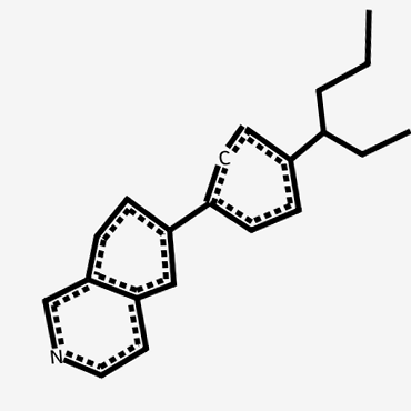 CCCC(CC)c1ccc(-c2ccc3cnccc3c2)cc1